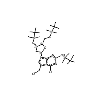 CC(C)(C)[Si](C)(C)Nc1nc(Cl)c2c(CCl)cn([C@H]3C[C@@H](O[Si](C)(C)C(C)(C)C)[C@@H](CO[Si](C)(C)C(C)(C)C)O3)c2n1